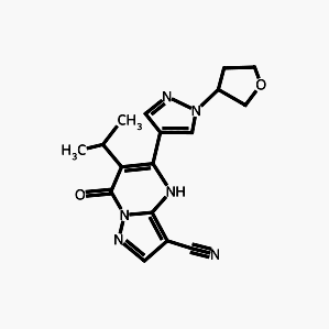 CC(C)c1c(-c2cnn(C3CCOC3)c2)[nH]c2c(C#N)cnn2c1=O